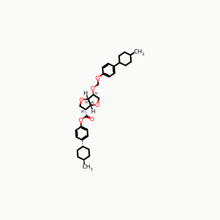 CC1CCC(c2ccc(OCO[C@H]3CO[C@H]4[C@@H]3OC[C@H]4C(=O)Oc3ccc([C@H]4CC[C@H](C)CC4)cc3)cc2)CC1